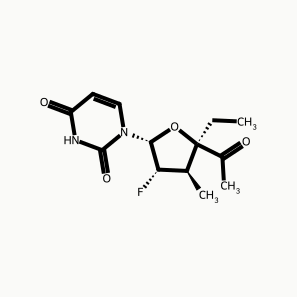 CC[C@@]1(C(C)=O)O[C@@H](n2ccc(=O)[nH]c2=O)[C@@H](F)[C@@H]1C